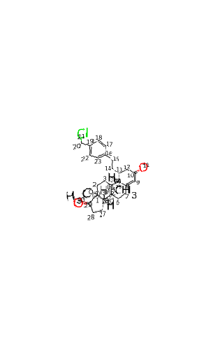 C[C@]12CC[C@@H]3[C@@H](CCC4=CC(=O)CC(CCc5ccc(CCl)cc5)[C@@]43C)[C@@H]1CCC2=O